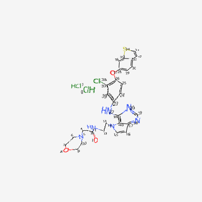 Cl.Cl.O=C(CN1CCOCC1)NCCn1ccc2ncnc(Nc3ccc(Oc4ccc5ccsc5c4)c(Cl)c3)c21